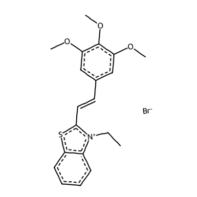 CC[n+]1c(/C=C/c2cc(OC)c(OC)c(OC)c2)sc2ccccc21.[Br-]